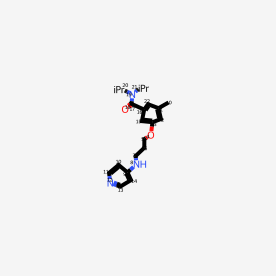 Cc1cc(OCCCNc2ccncc2)cc(C(=O)N(C(C)C)C(C)C)c1